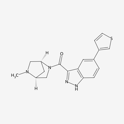 CN1C[C@@H]2C[C@H]1CN2C(=O)c1n[nH]c2ccc(-c3ccsc3)cc12